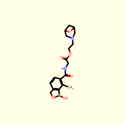 Cc1c(C(=O)NCC(=O)OCCN2CC3CC(C2)O3)ccc2c1B(O)OC2